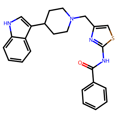 O=C(Nc1nc(CN2CCC(c3c[nH]c4ccccc34)CC2)cs1)c1ccccc1